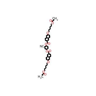 C=CC(=O)OCCCCCCOc1ccc2cc(C(=O)Oc3ccc(OC(=O)c4ccc5cc(OCCCCCCOC(=O)C=C)ccc5c4)c(C#N)c3)ccc2c1